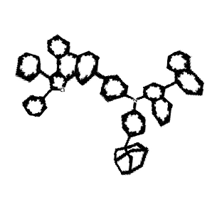 c1ccc(-c2oc3c4cc(-c5ccc(N(c6ccc(C78CC9CC(CC(C9)C7)C8)cc6)c6ccc(-c7cccc8ccccc78)c7ccccc67)cc5)ccc4c4ccccc4c3c2-c2ccccc2)cc1